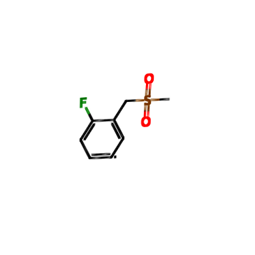 CS(=O)(=O)Cc1c[c]ccc1F